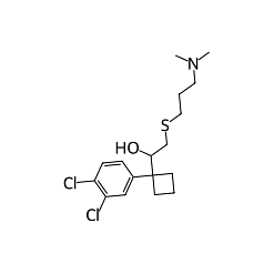 CN(C)CCCSCC(O)C1(c2ccc(Cl)c(Cl)c2)CCC1